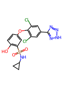 O=S(=O)(NC1CC1)c1cc(Oc2c(Cl)cc(-c3nn[nH]n3)cc2Cl)ccc1O